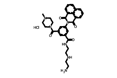 CN1CCN(C(=O)c2cc(C(=O)NCCNCCN)cc(N3C(=O)c4cccc5cccc(c45)C3=O)c2)CC1.Cl